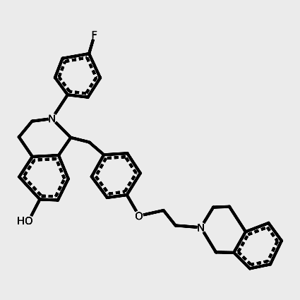 Oc1ccc2c(c1)CCN(c1ccc(F)cc1)C2Cc1ccc(OCCN2CCc3ccccc3C2)cc1